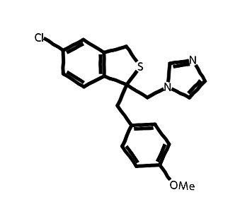 COc1ccc(CC2(Cn3ccnc3)SCc3cc(Cl)ccc32)cc1